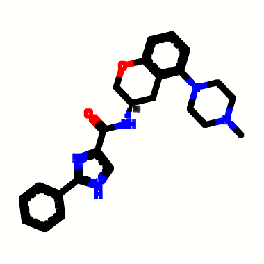 CN1CCN(c2cccc3c2C[C@H](NC(=O)c2c[nH]c(-c4ccccc4)n2)CO3)CC1